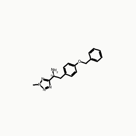 Cn1nnc([C@@H](N)Cc2ccc(OCc3ccccc3)cc2)n1